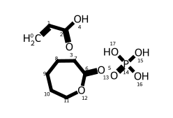 C=CC(=O)O.O=C1CCCCCO1.O=P(O)(O)O